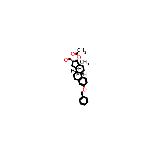 CC(=O)O[C@H]1[C@H](C=O)C[C@H]2[C@@H]3CCc4cc(OCc5ccccc5)ccc4[C@H]3CC[C@@]21C